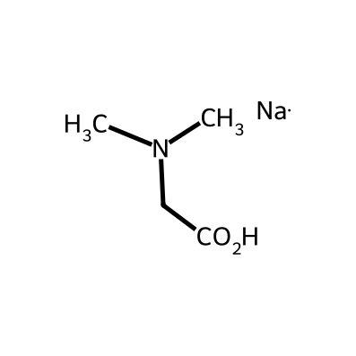 CN(C)CC(=O)O.[Na]